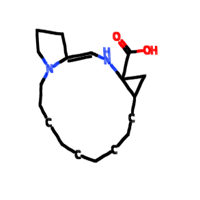 O=C(O)C12CC1CCCCCCCCCN1CCCC1=CN2